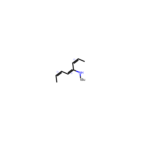 C\C=C/C=C(\C=C/C)NC(C)(C)C